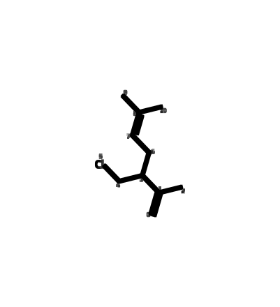 C=C(C)C(CCl)CC=C(C)C